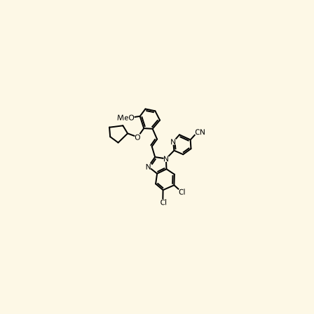 COc1cccc(C=Cc2nc3cc(Cl)c(Cl)cc3n2-c2ccc(C#N)cn2)c1OC1CCCC1